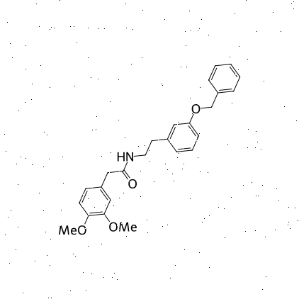 COc1ccc(CC(=O)NCCc2cccc(OCc3ccccc3)c2)cc1OC